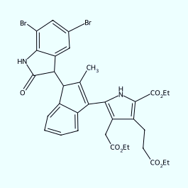 CCOC(=O)CCc1c(C(=O)OCC)[nH]c(C2=C(C)C(C3C(=O)Nc4c(Br)cc(Br)cc43)c3ccccc32)c1CC(=O)OCC